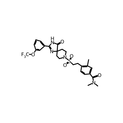 Cc1cc(C(=O)N(C)C)ccc1CCS(=O)(=O)N1CCC2(CC1)N=C(c1cccc(OC(F)(F)F)c1)NC2=O